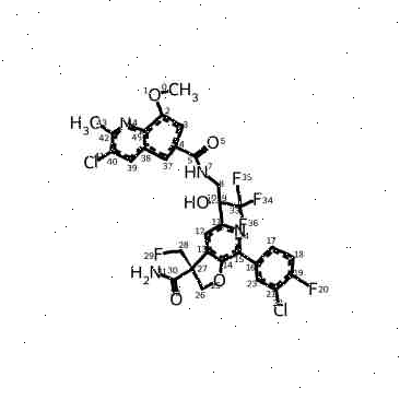 COc1cc(C(=O)NC[C@](O)(c2cc3c(c(-c4ccc(F)c(Cl)c4)n2)OC[C@]3(CF)C(N)=O)C(F)(F)F)cc2cc(Cl)c(C)nc12